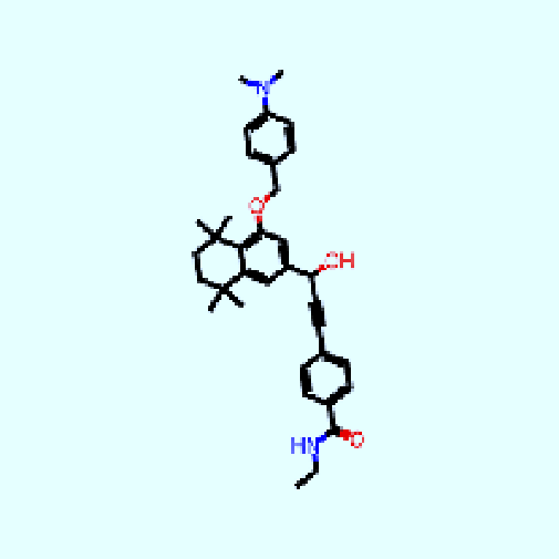 CCNC(=O)c1ccc(C#CC(O)c2cc(OCc3ccc(N(C)C)cc3)c3c(c2)C(C)(C)CCC3(C)C)cc1